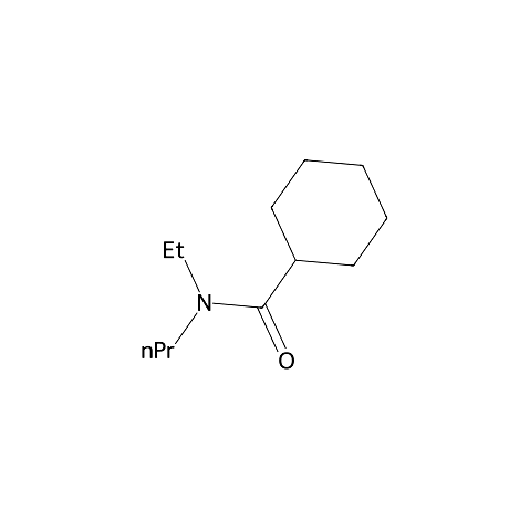 CCCN(CC)C(=O)C1CCCCC1